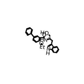 CCOc1ccc(-c2ccccc2)cc1C(=O)N[C@@H](CO)Cc1c[nH]c2ccccc12